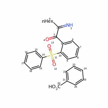 CCCCCCC(=N)C(=O)c1ccccc1S(=O)(=O)c1ccccc1.O=C(O)c1ccccc1